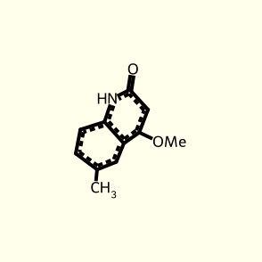 COc1cc(=O)[nH]c2ccc(C)cc12